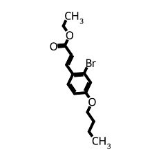 CCCCOc1ccc(/C=C/C(=O)OCC)c(Br)c1